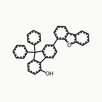 Oc1cccc2c1-c1ccc(-c3cccc4c3oc3ccccc34)cc1C2(c1ccccc1)c1ccccc1